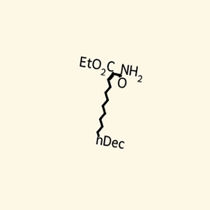 CCCCCCCCCCCCCCCCCCC=C(C(N)=O)C(=O)OCC